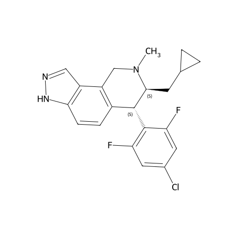 CN1Cc2c(ccc3[nH]ncc23)[C@@H](c2c(F)cc(Cl)cc2F)[C@@H]1CC1CC1